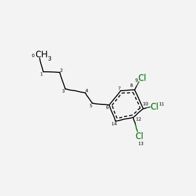 CCCCCCc1cc(Cl)c(Cl)c(Cl)c1